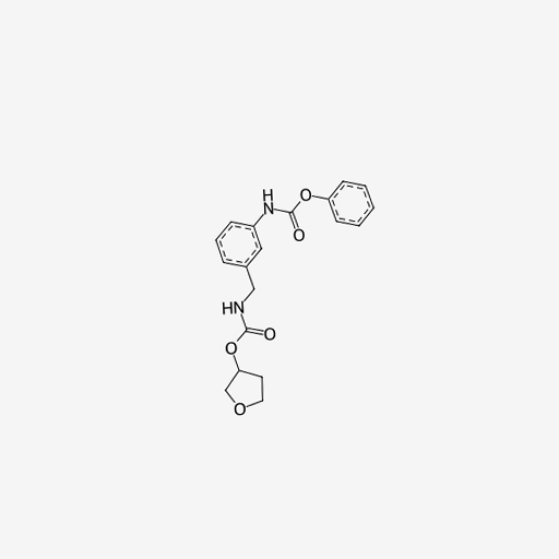 O=C(Nc1cccc(CNC(=O)OC2CCOC2)c1)Oc1ccccc1